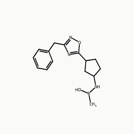 CB(O)NC1CCC(c2nc(Cc3ccccc3)no2)C1